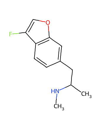 CNC(C)Cc1ccc2c(F)coc2c1